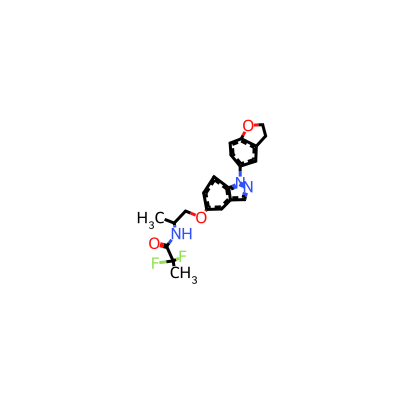 CC(COc1ccc2c(cnn2-c2ccc3c(c2)CCO3)c1)NC(=O)C(C)(F)F